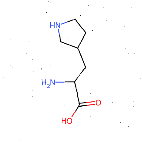 NC(CC1CCNC1)C(=O)O